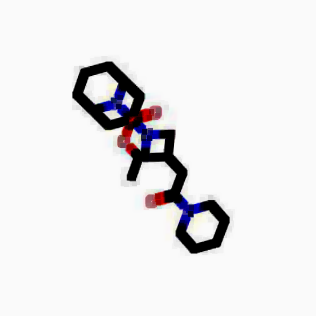 CCOC(=O)N1C2CCCC1CC(N1CC(CC(=O)N3CCCCC3)C1)C2